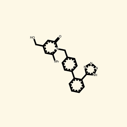 CCCc1cc(CO)cc(=O)n1Cc1ccc(-c2ccccc2-c2nnn[nH]2)cc1